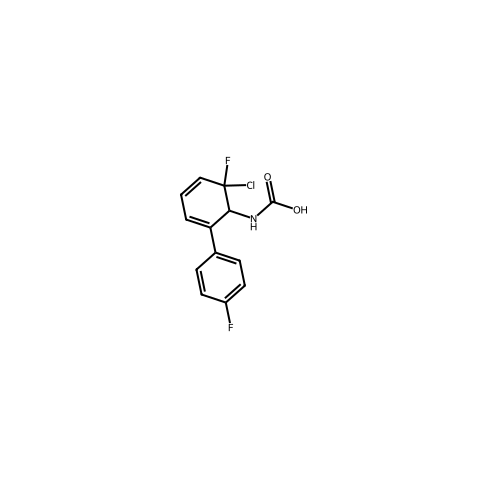 O=C(O)NC1C(c2ccc(F)cc2)=CC=CC1(F)Cl